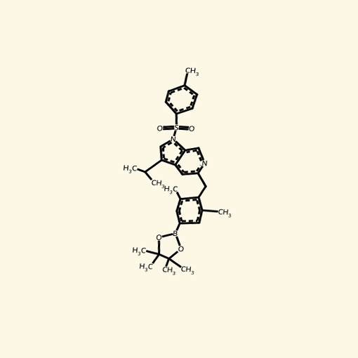 Cc1ccc(S(=O)(=O)n2cc(C(C)C)c3cc(Cc4c(C)cc(B5OC(C)(C)C(C)(C)O5)cc4C)ncc32)cc1